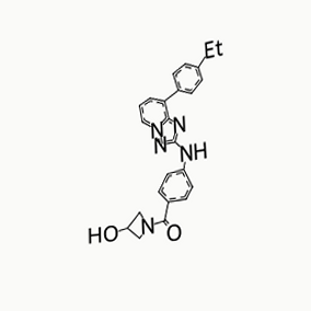 CCc1ccc(-c2cccn3nc(Nc4ccc(C(=O)N5CC(O)C5)cc4)nc23)cc1